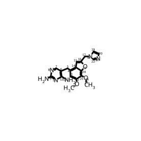 COc1cc(Cc2cnc(N)nc2N)c2cc(Cn3ccnc3)oc2c1OC